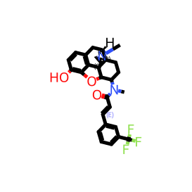 CN(C(=O)/C=C/c1cccc(C(F)(F)F)c1)C1CC[C@@]2(C)[C@H]3Cc4ccc(O)c5c4[C@@]2(CCN3C)C1O5